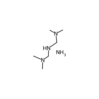 CN(C)CNCN(C)C.N